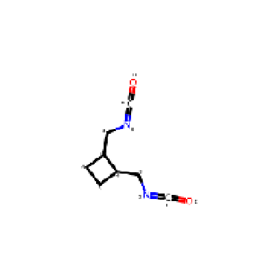 O=C=NCC1CCC1CN=C=O